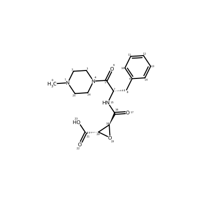 CN1CCN(C(=O)[C@H](Cc2ccccc2)NC(=O)[C@H]2O[C@@H]2C(=O)O)CC1